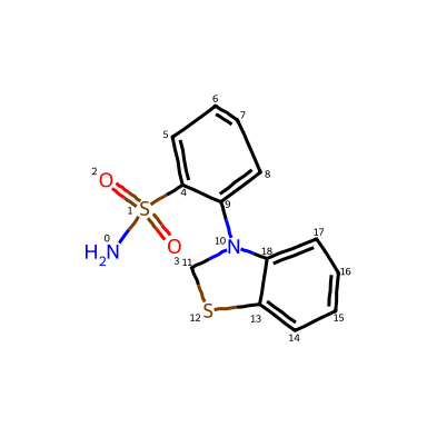 NS(=O)(=O)c1ccccc1N1CSc2ccccc21